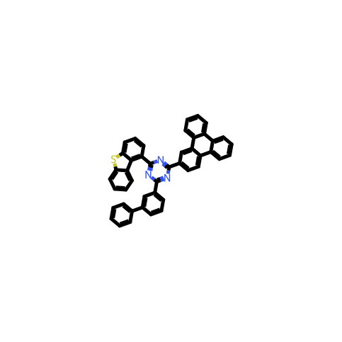 c1ccc(-c2cccc(-c3nc(-c4ccc5c6ccccc6c6ccccc6c5c4)nc(-c4cccc5sc6ccccc6c45)n3)c2)cc1